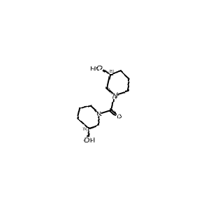 O=C(N1CCC[C@H](O)C1)N1CCC[C@H](O)C1